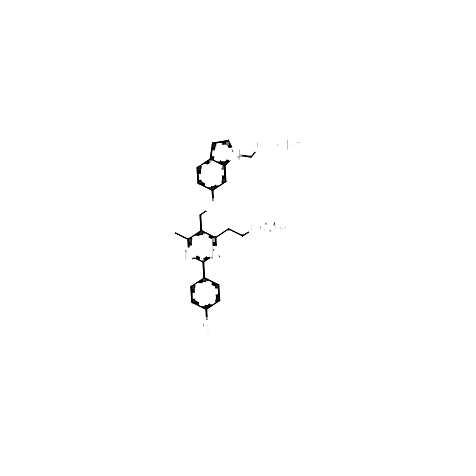 CCOC(=O)Cn1ccc2ccc(OCc3c(C)nc(-c4ccc(C(F)(F)F)cc4)nc3CCOC)cc21